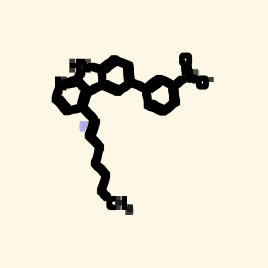 CCCCC/C=C/c1ccnc2[nH]c3ccc(-c4cccc([N+](=O)[O-])c4)cc3c12